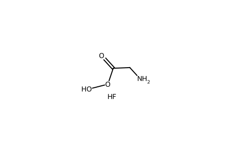 F.NCC(=O)OO